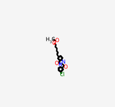 CC(=O)OCCCCC=Cc1ccc2nc3n(c(=O)c2c1)-c1ccc(Cl)cc1C3=O